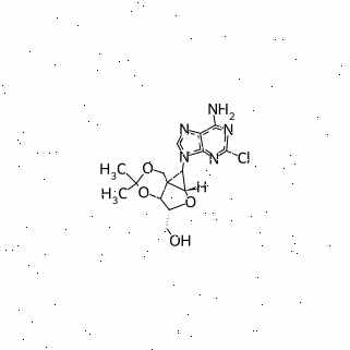 CC1(C)OCC23C(O1)[C@@H](CO)O[C@H]2C3n1cnc2c(N)nc(Cl)nc21